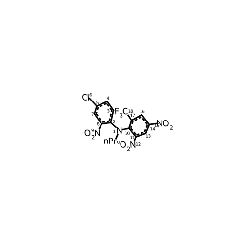 CCCN(c1ccc(Cl)cc1[N+](=O)[O-])c1c([N+](=O)[O-])cc([N+](=O)[O-])cc1C(F)(F)F